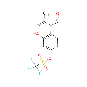 CC1=COc2cc(OS(=O)(=O)C(F)(F)F)ccc2C1C=O